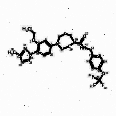 CCOc1cc(N2CCCN(C(=O)NCc3ccc(OC(F)(F)F)cc3)CC2)ccc1-n1cnc(C)n1